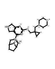 O=C(O)N1C2CCC1CN(c1nc(OCC3(CN4CCOCC4)CC3)nc3c1CNC3)C2